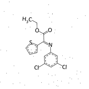 CCOC(=O)/C(=N/c1cc(Cl)cc(Cl)c1)c1cccs1